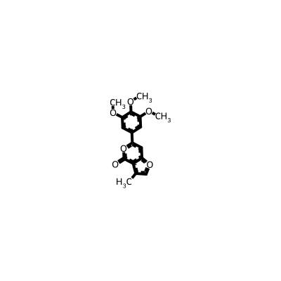 COc1cc(-c2cc3occ(C)c3c(=O)o2)cc(OC)c1OC